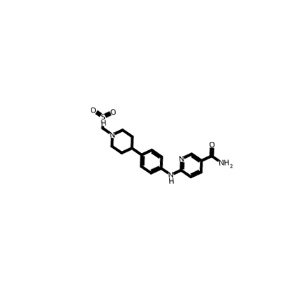 NC(=O)c1ccc(Nc2ccc(C3CCN(C[SH](=O)=O)CC3)cc2)nc1